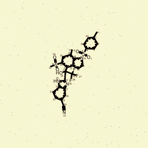 Cc1ccc(S(=O)(=O)n2ccc3c(C(O)(c4nc5cc(C#N)ccc5[nH]4)C(F)(F)F)c(S(C)(=O)=O)cc(C)c32)cc1